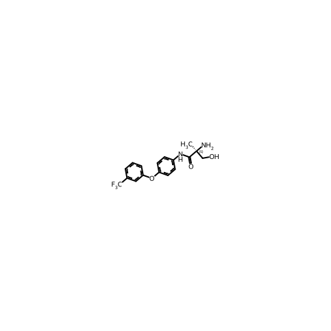 C[C@](N)(CO)C(=O)Nc1ccc(Oc2cccc(C(F)(F)F)c2)cc1